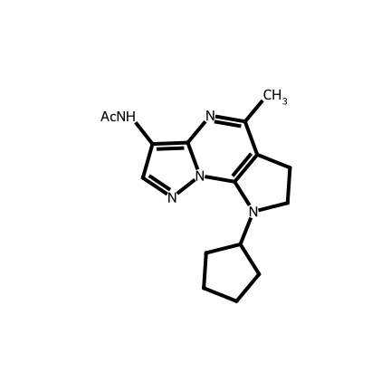 CC(=O)Nc1cnn2c3c(c(C)nc12)CCN3C1CCCC1